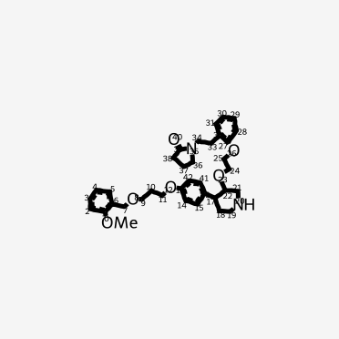 COc1ccccc1COCCCOc1ccc(C2CCNCC2OCCOc2ccccc2CCN2CCCC2=O)cc1